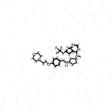 CN(c1ncnc2sc(CC(F)(F)F)cc12)C1CCC(NCc2ccc(OCCN3CCOCC3)cc2)C1